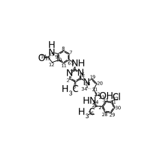 Cc1cnc(Nc2ccc3c(c2)CC(=O)N3)nc1N1C=C[C@H]([C@@H](O)NC(C)c2cccc(Cl)c2)C1